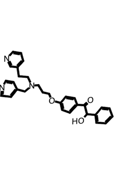 O=C(c1ccc(OCCCN(CCc2cccnc2)Cc2ccncc2)cc1)C(O)c1ccccc1